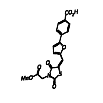 COC(=O)CN1C(=O)SC(=Cc2ccc(-c3ccc(C(=O)O)cc3)o2)C1=O